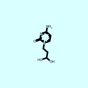 Nc1ccn(CCC(O)O)c(=O)n1